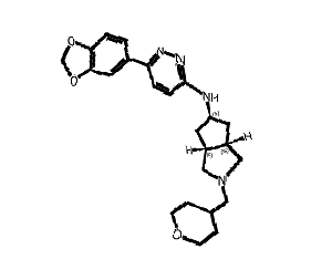 c1cc2c(cc1-c1ccc(N[C@H]3C[C@@H]4CN(CC5CCOCC5)C[C@@H]4C3)nn1)OCO2